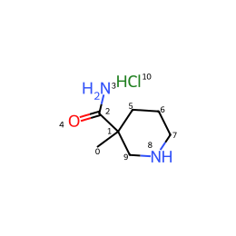 CC1(C(N)=O)CCCNC1.Cl